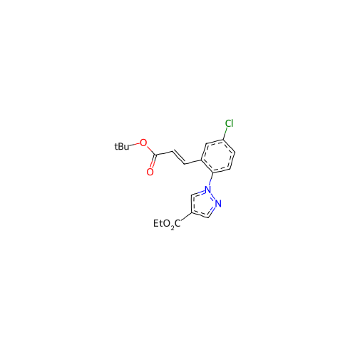 CCOC(=O)c1cnn(-c2ccc(Cl)cc2/C=C/C(=O)OC(C)(C)C)c1